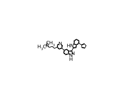 CN(C)CCCc1cncc(-c2ccc3[nH]nc(-c4cc5c(C6=CCC=C6)cccc5[nH]4)c3c2)c1